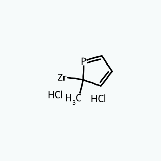 C[C]1([Zr])C=CC=P1.Cl.Cl